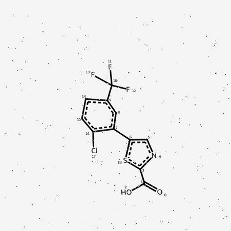 O=C(O)c1ncc(-c2cc(C(F)(F)F)ccc2Cl)s1